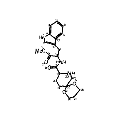 COC(=O)C(Cc1c[nH]c2ccccc12)NC(=O)C1CCC2(CN1)OCCCO2